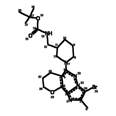 Cc1nc2c3c(c(N4CCCC(CNC(=O)OC(C)(C)C)C4)nn2c1Br)CCCO3